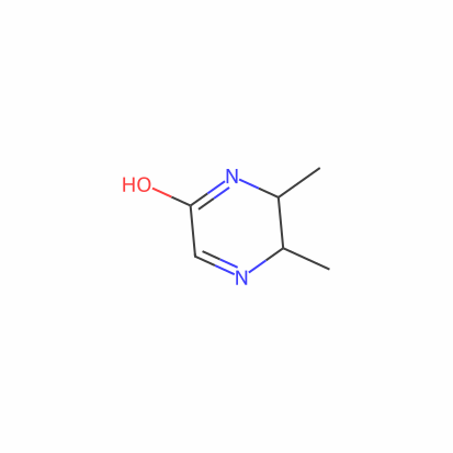 CC1N=CC(O)=NC1C